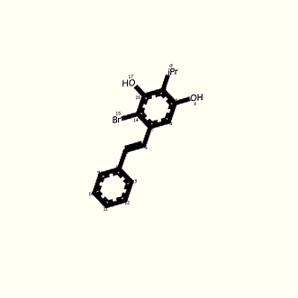 CC(C)c1c(O)cc(/C=C/c2ccccc2)c(Br)c1O